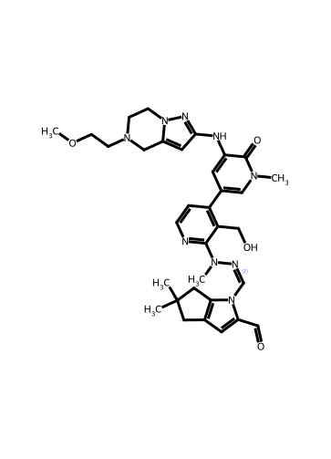 COCCN1CCn2nc(Nc3cc(-c4ccnc(N(C)/N=C\n5c(C=O)cc6c5CC(C)(C)C6)c4CO)cn(C)c3=O)cc2C1